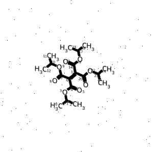 CC(C)OC(=O)C(C(=O)OC(C)C)=C(C(=O)OC(C)C)C(=O)OC(C)C